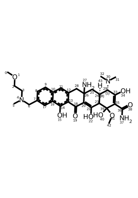 COCCN(C)Cc1ccc2cc3c(c(O)c2c1)C(=O)C1=C(O)C2[C@@H](CC1(N)C3)[C@H](N(C)C)C(O)=C(C(N)=O)C2(O)OC